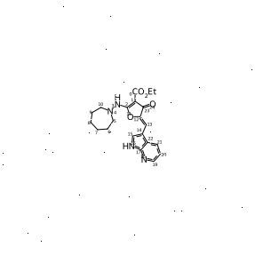 CCOC(=O)C1=C(NN2CCCCCC2)OC(=Cc2c[nH]c3ncccc23)C1=O